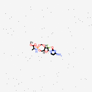 CC(C)OC(=O)C(C)NP1(=O)OCO[C@@H]2[C@@H](CO1)O[C@@H](n1ccc(N)nc1=O)C2(F)F